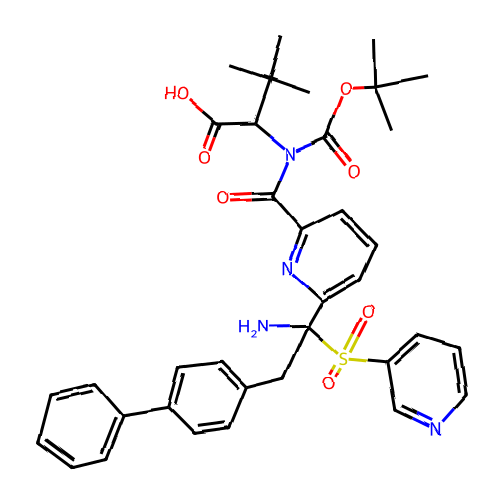 CC(C)(C)OC(=O)N(C(=O)c1cccc(C(N)(Cc2ccc(-c3ccccc3)cc2)S(=O)(=O)c2cccnc2)n1)C(C(=O)O)C(C)(C)C